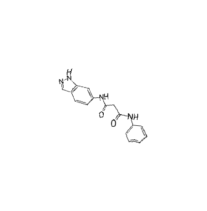 O=C(CC(=O)Nc1ccc2cn[nH]c2c1)Nc1ccccc1